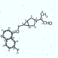 CC(C=O)N1CC2C(COc3ccnc4ccc(F)cc34)C2C1